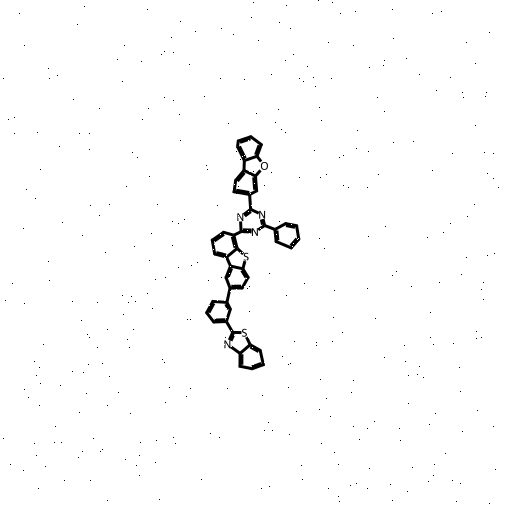 c1ccc(-c2nc(-c3ccc4c(c3)oc3ccccc34)nc(-c3cccc4c3sc3ccc(-c5cccc(-c6nc7ccccc7s6)c5)cc34)n2)cc1